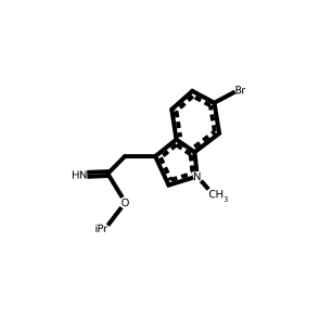 CC(C)OC(=N)Cc1cn(C)c2cc(Br)ccc12